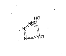 Cl.Cl.Cl.c1cnnnc1